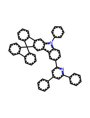 c1ccc(-c2cc(-c3ccccc3)nc(-c3ccc4c(c3)c3cc5c(cc3n4-c3ccccc3)-c3ccccc3C53c4ccccc4-c4ccccc43)c2)cc1